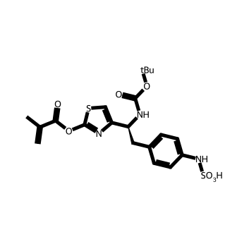 C=C(C)C(=O)Oc1nc([C@H](Cc2ccc(NS(=O)(=O)O)cc2)NC(=O)OC(C)(C)C)cs1